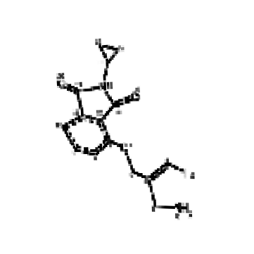 NCC(=CF)COc1cccc2c1C(=O)N(C1CC1)C2=O